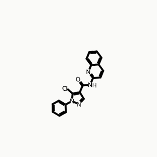 O=C(Nc1ccc2ccccc2n1)c1cnn(-c2ccccc2)c1Cl